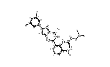 COc1ccnc(C(=O)N[C@@H](C)c2nnc(-c3cc(C)cc(C)c3)o2)c1OC(=O)OCC(C)C